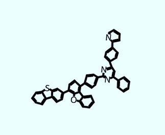 c1ccc(-c2cc(-c3ccc(-c4ccccn4)cc3)nc(-c3ccc(-c4ccc(-c5ccc6c(c5)sc5ccccc56)c5oc6ccccc6c45)cc3)n2)cc1